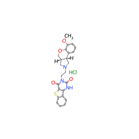 COc1cccc2c1OC[C@H]1CN(CCn3c(=O)[nH]c4c(sc5ccccc54)c3=O)C[C@@H]21.Cl